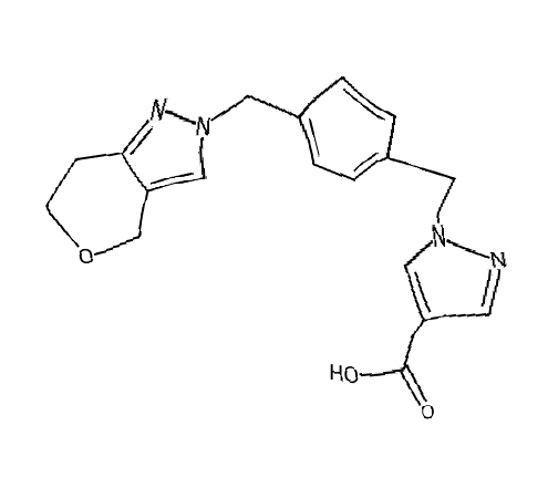 O=C(O)c1cnn(Cc2ccc(Cn3cc4c(n3)CCOC4)cc2)c1